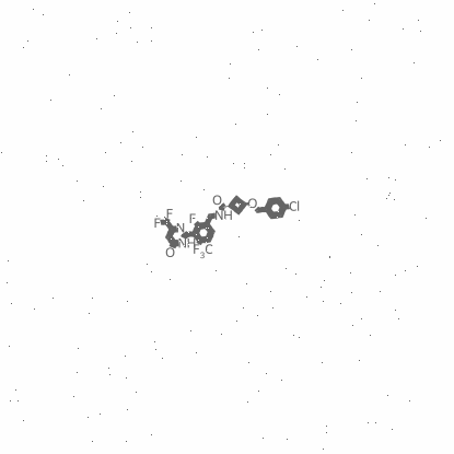 O=c1cc(C(F)F)nc(-c2c(C(F)(F)F)ccc(CNC(=O)[C@H]3C[C@H](OCc4ccc(Cl)cc4)C3)c2F)[nH]1